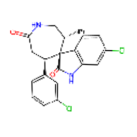 CC(C)[C@H]1CNC(=O)C[C@H](c2cccc(Cl)c2)[C@]12C(=O)Nc1cc(Cl)ccc12